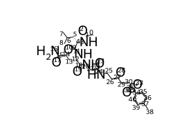 CC(=O)N[C@@H](CC(C)C)C(=O)N[C@@H](CCC(N)=O)C(=O)NCC(=O)NCCC(=O)CCS(=O)(=O)c1ccc(C)cc1